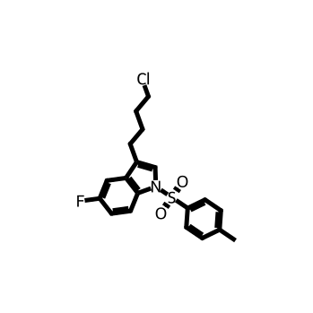 Cc1ccc(S(=O)(=O)n2cc(CCCCCl)c3cc(F)ccc32)cc1